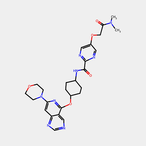 CN(C)C(=O)COc1cnc(C(=O)NC2CCC(Oc3nc(N4CCOCC4)cc4ncncc34)CC2)nc1